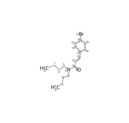 CCCCN(CCCC)C(=O)C=Cc1ccc(Br)cc1